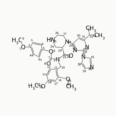 COc1ccc(OC(=O)N(Cc2ccc(OC)cc2OC)C(=O)C2CNCCN2c2cc(C(C)C)nc(-n3ccnc3)n2)cc1